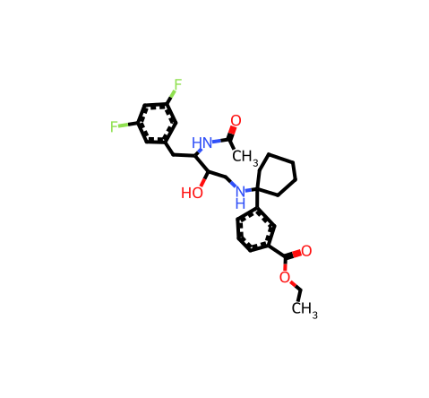 CCOC(=O)c1cccc(C2(NCC(O)C(Cc3cc(F)cc(F)c3)NC(C)=O)CCCCC2)c1